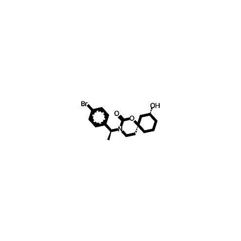 C[C@@H](c1ccc(Br)cc1)N1CC[C@]2(CCC[C@@H](O)C2)OC1=O